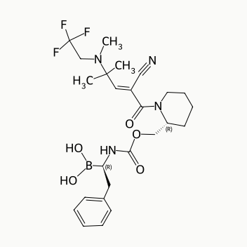 CN(CC(F)(F)F)C(C)(C)C=C(C#N)C(=O)N1CCCC[C@@H]1COC(=O)N[C@@H](Cc1ccccc1)B(O)O